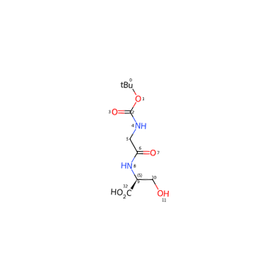 CC(C)(C)OC(=O)NCC(=O)N[C@@H](CO)C(=O)O